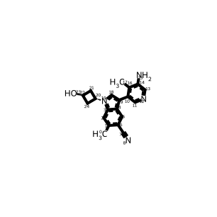 Cc1cc2c(cc1C#N)c(-c1cncc(N)c1C)cn2[C@H]1C[C@H](O)C1